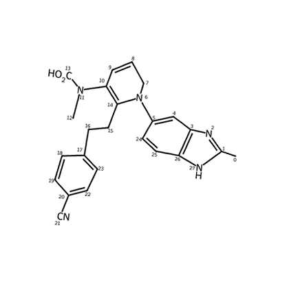 Cc1nc2cc(N3CC=CC(N(C)C(=O)O)=C3CCc3ccc(C#N)cc3)ccc2[nH]1